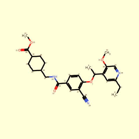 CCc1cc(C(C)Oc2ccc(C(=O)NCC3CCC(C(=O)OC)CC3)cc2C#N)c(OC)cn1